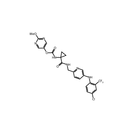 COc1ncc(OC(=O)NC2(C(=O)NCc3ccc(Nc4ccc(Cl)cc4C(F)(F)F)cn3)CC2)cn1